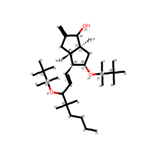 C=C1C[C@H]2[C@H](/C=C/C(O[Si](C)(C)C(C)(C)C)C(C)(C)CCCC)[C@H](O[Si](C)(C)C(C)(C)C)C[C@@H]2C1O